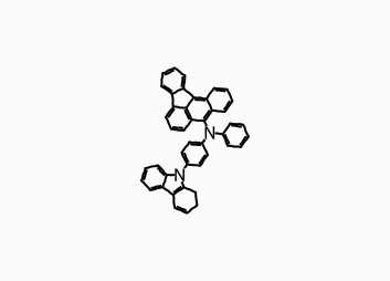 C1=Cc2c(n(-c3ccc(N(c4ccccc4)c4c5ccccc5c5c6c(cccc46)-c4ccccc4-5)cc3)c3ccccc23)CC1